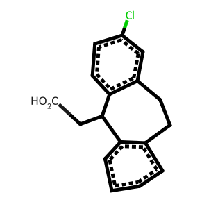 O=C(O)CC1c2ccccc2CCc2cc(Cl)ccc21